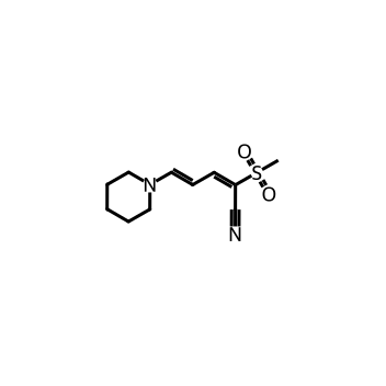 CS(=O)(=O)/C(C#N)=C/C=C/N1CCCCC1